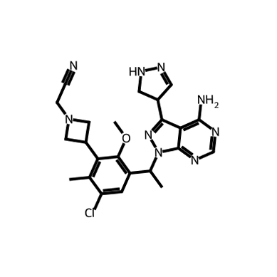 COc1c(C(C)n2nc(C3C=NNC3)c3c(N)ncnc32)cc(Cl)c(C)c1C1CN(CC#N)C1